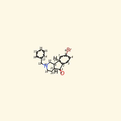 O=C1c2ccc(Br)cc2[C@@H]2CN(Cc3ccccc3)CC[C@H]12